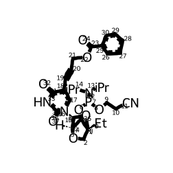 CC[C@@]12CO[C@H](C1OP(OCCC#N)N(C(C)C)C(C)C)[C@H](n1cc(C#CCOC(=O)c3ccccc3)c(=O)[nH]c1=O)O2